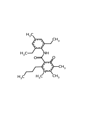 CCCCc1c(C(=O)Nc2c(CC)cc(C)cc2CC)c(=O)c(C)c(C)n1C